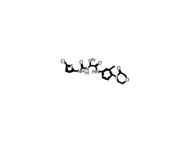 CCCC(NC(=O)Nc1ccc(Cl)s1)C(=O)Nc1ccc(N2CCOCC2=O)c(C)c1